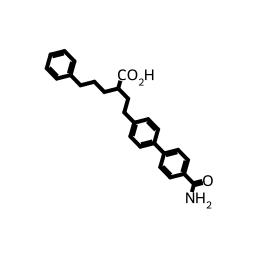 NC(=O)c1ccc(-c2ccc(CCC(CCCc3ccccc3)C(=O)O)cc2)cc1